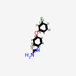 Nc1nc2ccc(Oc3cccc(F)c3)cc2s1